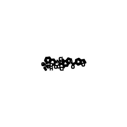 CCS(=O)(=O)c1cccc(CC(NC(=O)c2c(Cl)cc3c(c2Cl)CCN3C(=O)c2ccc3ccoc3c2)C(=O)O)c1